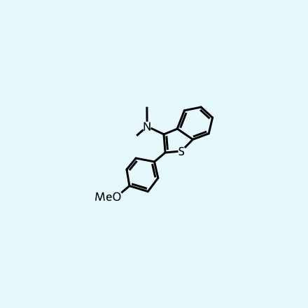 COc1ccc(-c2sc3ccccc3c2N(C)C)cc1